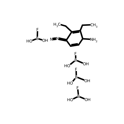 CCC1=C(CC)C(N)C=CC1=[N+]=[N-].OB(O)F.OB(O)F.OB(O)F.OB(O)F